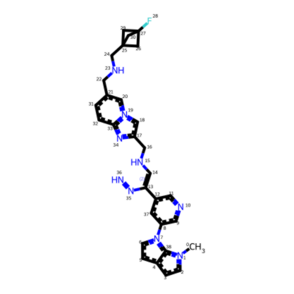 Cn1ccc2ccn(-c3cncc(/C(=C/NCc4cn5cc(CNCC67CC(F)(C6)C7)ccc5n4)N=N)c3)c21